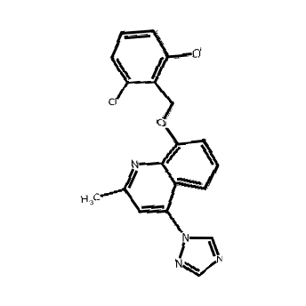 Cc1cc(-n2cncn2)c2cccc(OCc3c(Cl)[c]ccc3Cl)c2n1